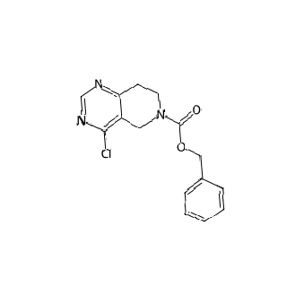 O=C(OCc1ccccc1)N1CCc2ncnc(Cl)c2C1